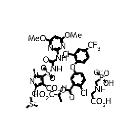 COc1cc(OC)nc(NC(=O)NS(=O)(=O)c2c(C(=O)O)c(Cl)nn2C)n1.C[C@H](OC(=O)c1cc(Oc2ccc(C(F)(F)F)cc2Cl)ccc1Cl)C(=O)O.C[S+](C)C.O=C(O)CNCP(=O)([O-])O